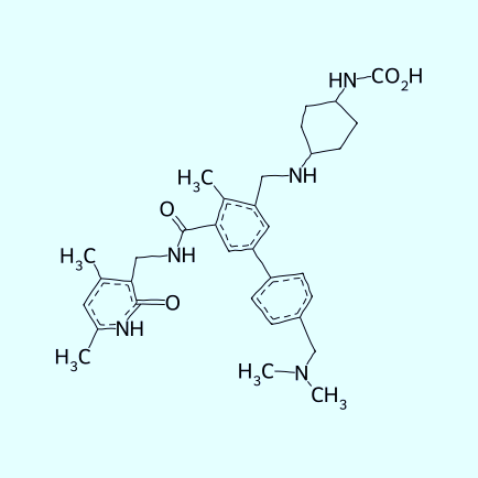 Cc1cc(C)c(CNC(=O)c2cc(-c3ccc(CN(C)C)cc3)cc(CNC3CCC(NC(=O)O)CC3)c2C)c(=O)[nH]1